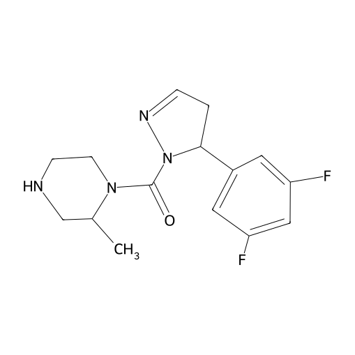 CC1CNCCN1C(=O)N1N=CCC1c1cc(F)cc(F)c1